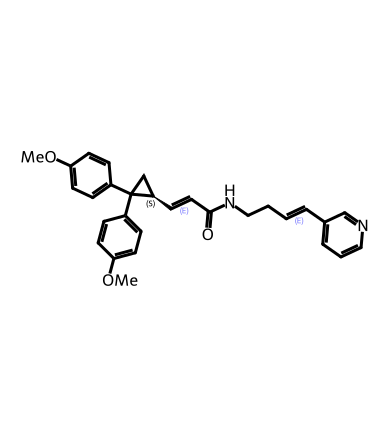 COc1ccc(C2(c3ccc(OC)cc3)C[C@H]2/C=C/C(=O)NCC/C=C/c2cccnc2)cc1